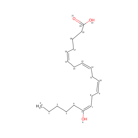 CCCCC/C(O)=C\C/C=C\C/C=C\C/C=C\CCCC(=O)O